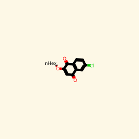 CCCCCCOC1=CC(=O)c2cc(Cl)ccc2C1=O